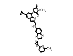 Cc1ccnc([C@H]2C[C@@H]2c2cnc3ccc(NCc4cn5cc(C6CC6)cc(N6CC(=O)N(C)C6=O)c5n4)cc3n2)n1